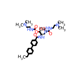 CCc1ccc(-c2ccc(C(=O)N[C@H](CN(O)C(=O)NCCN(C)C)[C@@H](C)OC(=O)NCCN(C)C)cc2)cc1